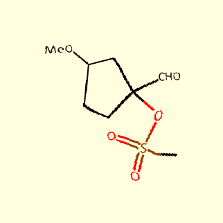 COC1CCC(C=O)(OS(C)(=O)=O)C1